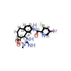 CN1C(=N)N[C@]2(C)c3cc(NC(=O)c4ncc(I)cc4F)ccc3CCC[C@@H]2S1(=O)=O